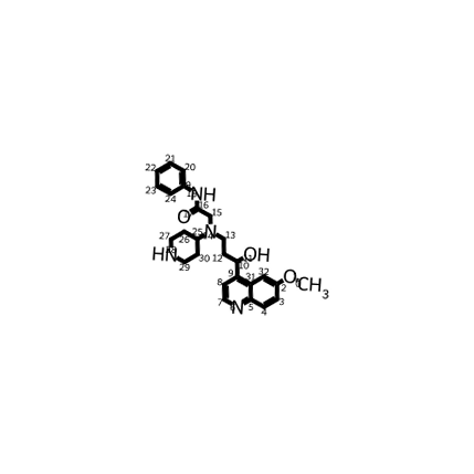 COc1ccc2nccc(C(O)CCN(CC(=O)Nc3ccccc3)C3CCNCC3)c2c1